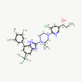 CC[C@@H](O)c1cnc(N2CCN(c3nc4cc(C(F)(F)F)cc(-c5cc(F)c(F)c(F)c5)c4[nH]3)[C@H](C)C2)c(Cl)c1